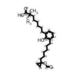 CC(C)(CCCCCCc1cccc(CCCCCCC2(OC=O)CC2)c1O)C(=O)O